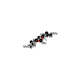 COC(=O)N[C@H](C(=O)N1CCC[C@H]1c1nc2cc([C@H]3CC[C@H](c4ccc5c(c4)NC([C@@H]4CCCN4C(=O)[C@@H](NC(=O)OC)C(C)C)N5)N3c3c(C)cc(C(C)(C)C)cc3C)ccc2[nH]1)C(C)C